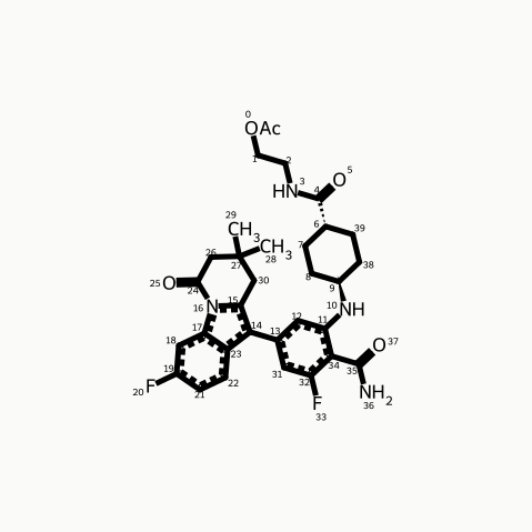 CC(=O)OCCNC(=O)[C@H]1CC[C@H](Nc2cc(-c3c4n(c5cc(F)ccc35)C(=O)CC(C)(C)C4)cc(F)c2C(N)=O)CC1